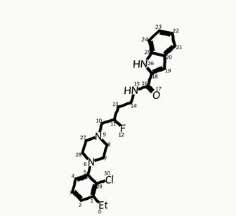 CCc1cccc(N2CCN(CC(F)CCNC(=O)c3cc4ccccc4[nH]3)CC2)c1Cl